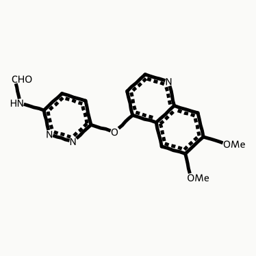 COc1cc2nccc(Oc3ccc(NC=O)nn3)c2cc1OC